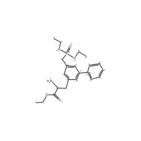 CCOC(=O)C(N)Cc1cc(CP(=O)(OCC)OCC)cc(-c2ccccc2)c1